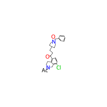 CC(=O)N1CCc2c(C(=O)CCC3CCN(C(=O)c4ccccc4)CC3)ccc(Cl)c2C1